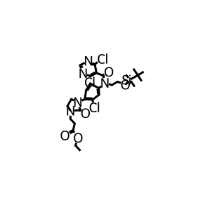 CCOC(=O)CCN1CCN(c2ccc(N(CCO[Si](C)(C)C(C)(C)C)C(=O)c3c(Cl)ncnc3Cl)cc2Cl)C1=O